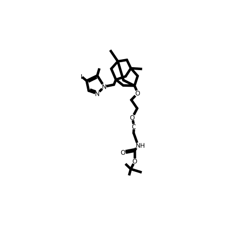 Cc1c(I)cnn1CC12CC3(C)CC(C)(C1)CC(OCCOCCNC(=O)OC(C)(C)C)(C3)C2